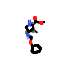 COC(=O)[C@H]1NC[C@@H](/N=C/Oc2ccccc2)[C@H]1C